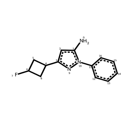 Nc1cc(C2CC(F)C2)nn1-c1ccccc1